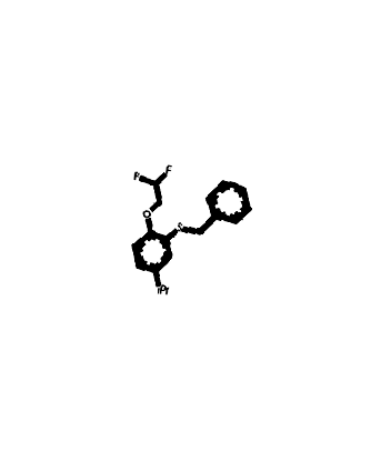 CC(C)c1ccc(OCC(F)F)c(SCc2ccccc2)c1